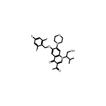 CC(=O)c1cn(C(CO)C(C)C)c2cc(N3CCOCC3)c(OCc3c(F)cc(F)cc3F)cc2c1=O